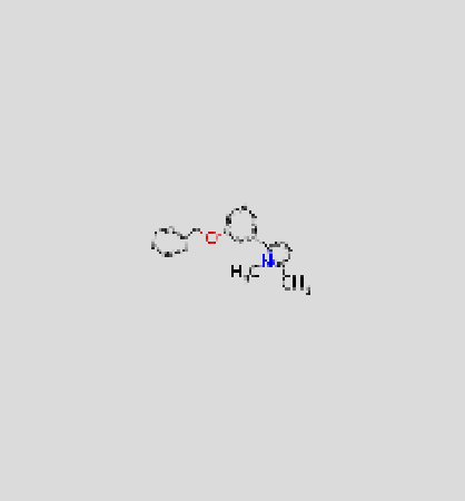 Cc1ccc(-c2cccc(OCc3ccccc3)c2)n1C